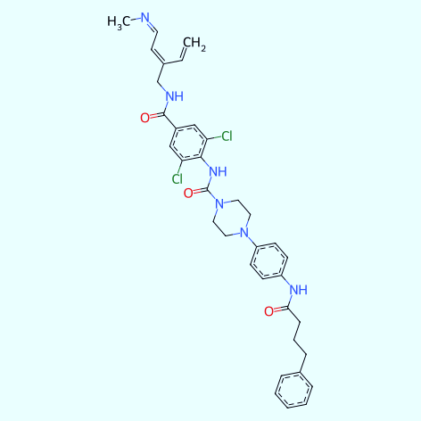 C=C/C(=C\C=N/C)CNC(=O)c1cc(Cl)c(NC(=O)N2CCN(c3ccc(NC(=O)CCCc4ccccc4)cc3)CC2)c(Cl)c1